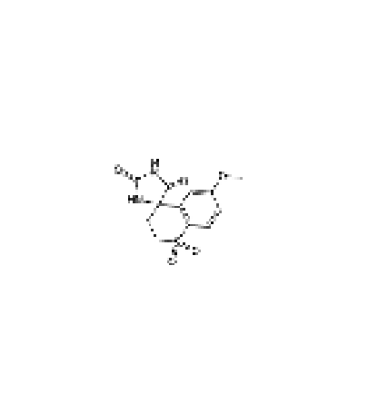 COc1ccc2c(c1)C1(CCS2(=O)=O)NC(=O)NC1=O